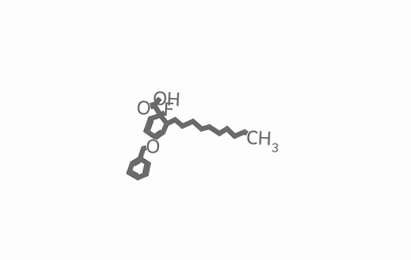 CCCCCCCCCCC1C=C(OCc2ccccc2)C=CC1(F)C(=O)O